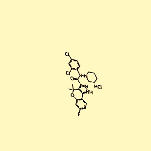 CC1(C)Oc2cc(F)ccc2-c2[nH]nc(C(=O)N(c3ccc(Cl)cc3Cl)N3CCCCC3)c21.Cl